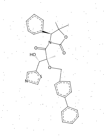 CC1(C)OC(=O)N(C(=O)[C@@](C)(OCc2ccc(-c3ccccc3)cc2)[C@@H](O)c2cncs2)[C@H]1c1ccccc1